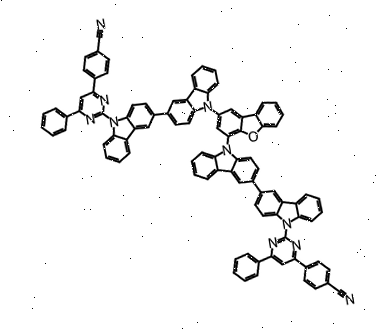 N#Cc1ccc(-c2cc(-c3ccccc3)nc(-n3c4ccccc4c4cc(-c5ccc6c(c5)c5ccccc5n6-c5cc(-n6c7ccccc7c7cc(-c8ccc9c(c8)c8ccccc8n9-c8nc(-c9ccccc9)cc(-c9ccc(C#N)cc9)n8)ccc76)c6oc7ccccc7c6c5)ccc43)n2)cc1